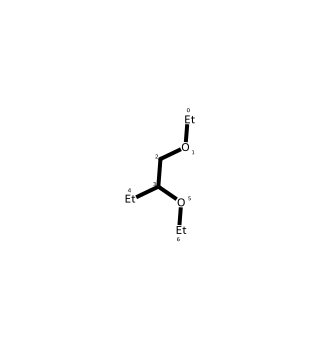 CCOCC(CC)OCC